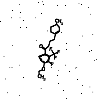 CCOc1ccc(C(=O)CCCC2=CCC(C)CC2)c(C(F)(F)F)c1F